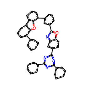 c1ccc(-c2nc(-c3ccccc3)nc(-c3ccc4oc(-c5cccc(-c6cccc7c6oc6c(-c8ccccc8)cccc67)c5)nc4c3)n2)cc1